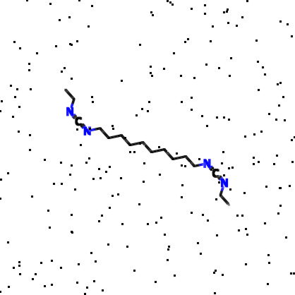 CCN=C=NCCCCCCCCCCN=C=NCC